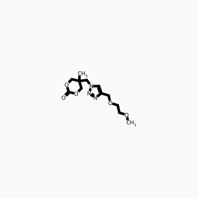 COCCOCc1cn(CC2(C)COC(=O)OC2)nn1